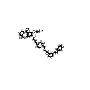 COc1cc2c(cc1OCCCN1CCN(CCCOc3cccc(-c4nc5ccccc5s4)c3)CC1)N=C[C@@H]1CCCN1C2=O